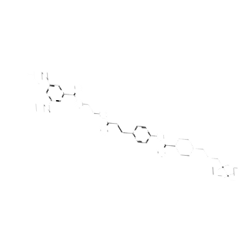 Nc1cc(N)cc(C(=O)OCCOC(=O)C=Cc2ccc(OC(=O)C3CCC(CCCC(F)(F)C(F)(F)F)CC3)cc2)c1